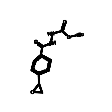 CC(C)(C)OC(=O)NNC(=O)c1ccc(C2CO2)cc1